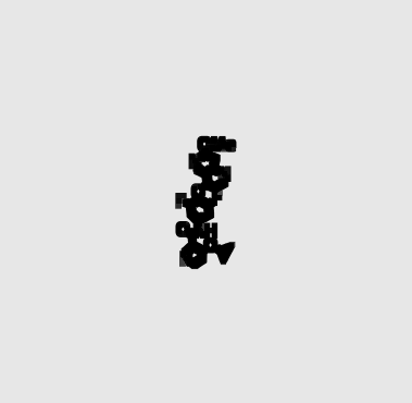 COc1cc2nccc(Oc3c(F)cc(NC(=O)c4cnccc4OC4CC4)cc3F)c2cn1